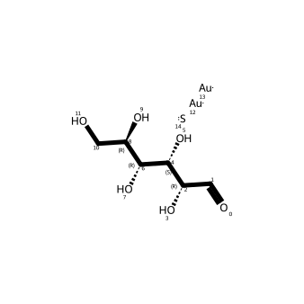 O=C[C@H](O)[C@@H](O)[C@H](O)[C@H](O)CO.[Au].[Au].[S]